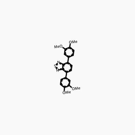 COc1ccc(-c2ccc(-c3ccc(OC)c(OC)c3)c3nsnc23)cc1OC